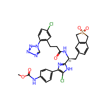 COC(=O)Nc1ccc(-c2nc([C@H](Cc3ccc4c(c3)CS(=O)(=O)C4)NC(=O)CCc3cc(Cl)ccc3-n3cnnn3)[nH]c2Cl)cc1